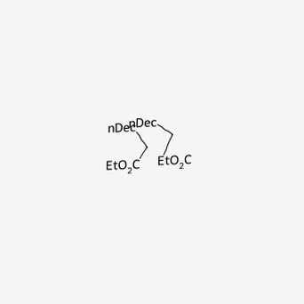 CCCCCCCCCCCC(=O)OCC.CCCCCCCCCCCC(=O)OCC